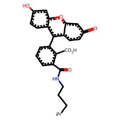 CC(C)CCCNC(=O)c1cccc(-c2c3ccc(=O)cc-3oc3cc(O)ccc23)c1C(=O)O